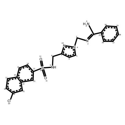 NC(=NCn1ccc(CNS(=O)(=O)c2ccc3ccc(Cl)cc3c2)n1)c1ccccc1